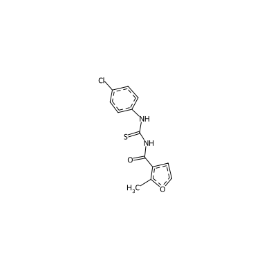 Cc1occc1C(=O)NC(=S)Nc1ccc(Cl)cc1